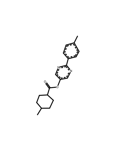 Cc1ccc(-c2ncc(OC(=O)C3CCC(C)CC3)cn2)cc1